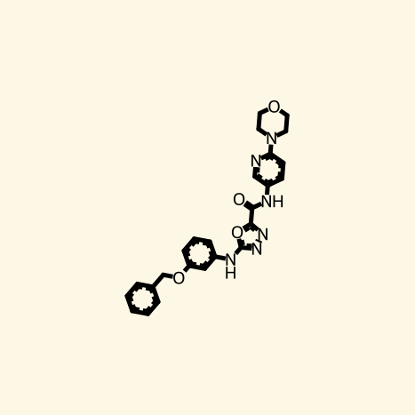 O=C(Nc1ccc(N2CCOCC2)nc1)c1nnc(Nc2cccc(OCc3ccccc3)c2)o1